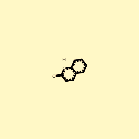 I.O=c1ccc2ccccc2o1